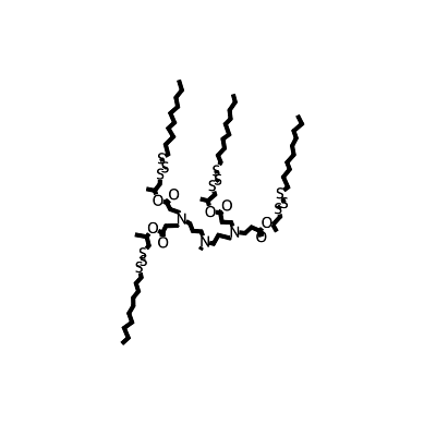 CCCCCCCCCCSSSCC(C)OC(=O)CCN(CCCN(C)CCCN(CCC(=O)OC(C)CSSSCCCCCCCCCC)CCC(=O)OC(C)CSSSCCCCCCCCCC)CCC(=O)OC(C)CSSSCCCCCCCCCC